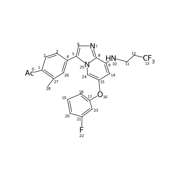 CC(=O)c1ccc(-c2cnc3c(NCCC(F)(F)F)cc(Oc4cccc(F)c4)cn23)cc1C